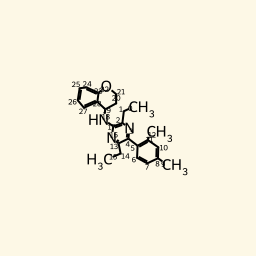 CCc1nc(-c2ccc(C)cc2C)c(CC)nc1NC1CCOc2ccccc21